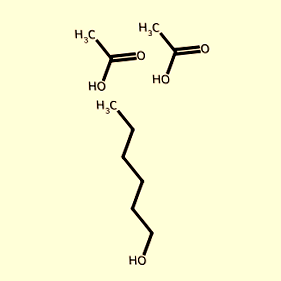 CC(=O)O.CC(=O)O.CCCCCCO